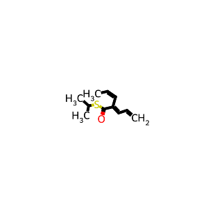 C=C/C=C(\C=C/C)C(=O)SC(C)C